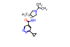 CC(C)N1C[C@@H](C)[C@@H](NC(=O)c2cnnc(C3CC3)c2)C1